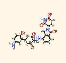 CN(C)c1ccc(Br)c(C2CC(=O)C(=CNc3cccc4c3CN(C3CCC(=O)NC3=O)C4=O)C(=O)C2)c1